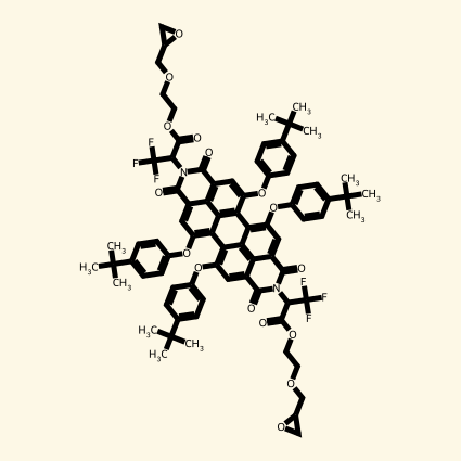 CC(C)(C)c1ccc(Oc2cc3c4c(cc(Oc5ccc(C(C)(C)C)cc5)c5c6c(Oc7ccc(C(C)(C)C)cc7)cc7c8c(cc(Oc9ccc(C(C)(C)C)cc9)c(c2c45)c86)C(=O)N(C(C(=O)OCCOCC2CO2)C(F)(F)F)C7=O)C(=O)N(C(C(=O)OCCOCC2CO2)C(F)(F)F)C3=O)cc1